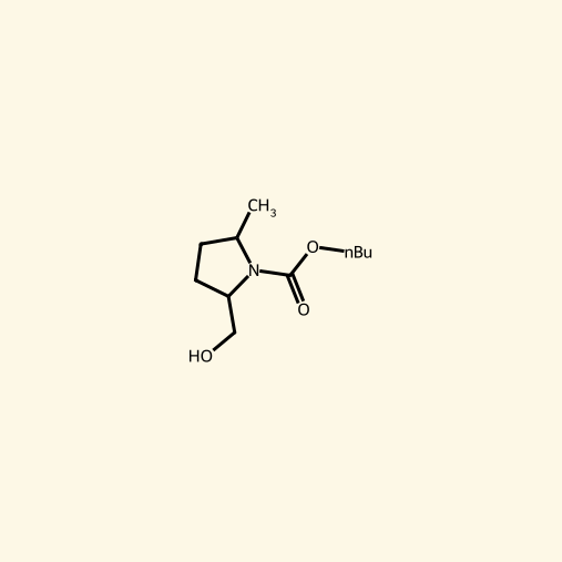 CCCCOC(=O)N1C(C)CCC1CO